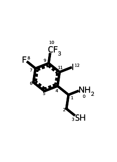 NC(CS)c1ccc(F)c(C(F)(F)F)c1I